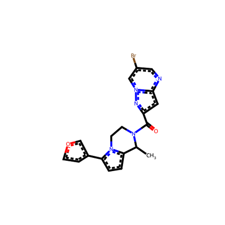 CC1c2ccc(-c3ccoc3)n2CCN1C(=O)c1cc2ncc(Br)cn2n1